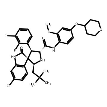 COc1cc(OC2CCOCC2)ccc1NC(=O)[C@@H]1N[C@@H](CC(C)(C)C)[C@@]2(C(=O)Nc3cc(Cl)ccc32)[C@H]1c1cccc(Cl)c1F